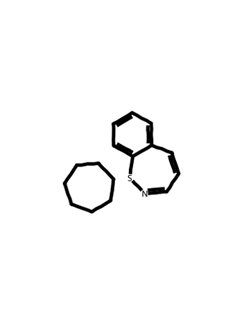 C1=Cc2ccccc2SN=C1.C1CCCCCC1